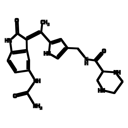 CC(=C1C(=O)Nc2ccc(NC(N)=O)cc21)c1cc(CNC(=O)C2CNCCN2)c[nH]1